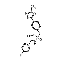 CCOP(=O)(Cc1ccc(-c2nnc(C(F)(F)F)o2)cc1)NCc1ccc(F)cc1